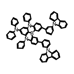 c1ccc(N(c2ccccc2)c2cc3c4c(c2)N(c2ccccc2)c2ccc(-c5cccc(-n6c7ccccc7c7ccccc76)c5)cc2B4c2cc(-c4cccc(-n5c6ccccc6c6ccccc65)c4)ccc2N3c2ccccc2)cc1